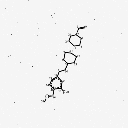 C=C[C@H]1CC[C@H](C2CCC(CCc3ccc(COC)c(F)c3)CC2)CC1